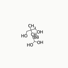 CC(C)(C)C(O)O.CC(C)(CO)CO